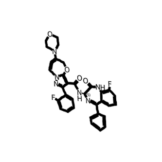 O=C(N[C@H]1N=C(c2ccccc2)c2cccc(F)c2NC1=O)c1c(-c2ccccc2F)nn2c1OCC(N1CCOCC1)=C=C2